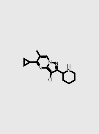 Cc1cn2nc(C3CCCCN3)c(Cl)c2nc1C1CC1